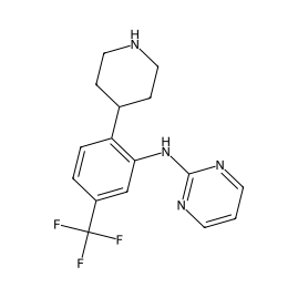 FC(F)(F)c1ccc(C2CCNCC2)c(Nc2ncccn2)c1